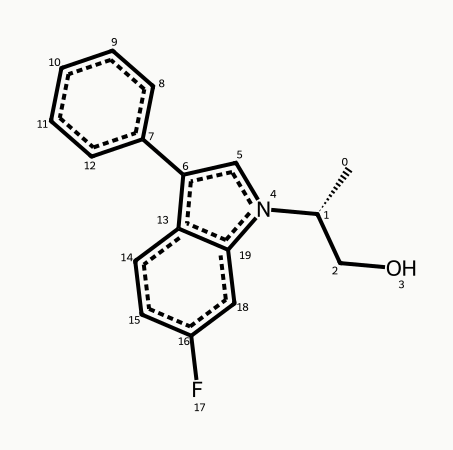 C[C@H](CO)n1cc(-c2ccccc2)c2ccc(F)cc21